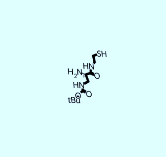 CC(C)(C)OC(=O)NC[C@H](N)C(=O)NCCS